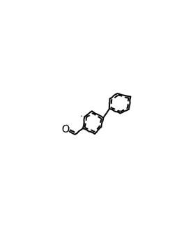 O=Cc1[c]cc(-c2ccccc2)cc1